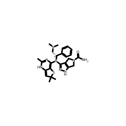 CC1=NC(N(c2n[nH]c3c2CN(C(N)=O)C3)[C@H](CN(C)C)c2ccccc2)=C2SC(C)(C)C=C2N1